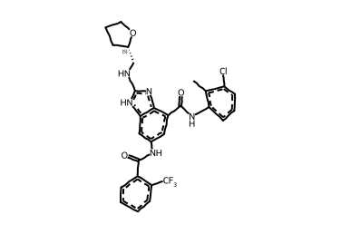 Cc1c(Cl)cccc1NC(=O)c1cc(NC(=O)c2ccccc2C(F)(F)F)cc2[nH]c(NC[C@@H]3CCCO3)nc12